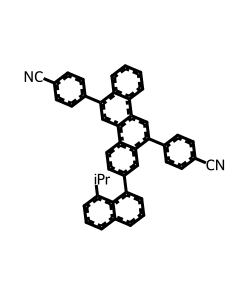 CC(C)c1cccc2cccc(-c3ccc4c(c3)c(-c3ccc(C#N)cc3)cc3c5ccccc5c(-c5ccc(C#N)cc5)cc43)c12